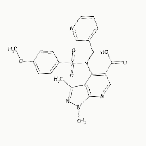 COc1ccc(S(=O)(=O)N(Cc2cccnc2)c2c(C(=O)O)cnc3c2c(C)nn3C)cc1